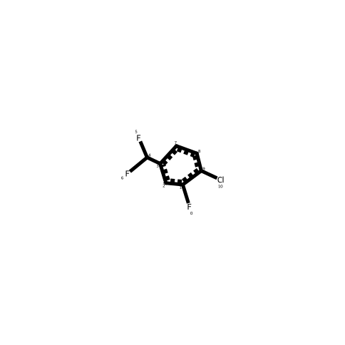 Fc1[c]c(C(F)F)ccc1Cl